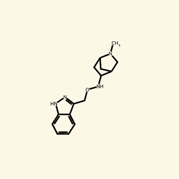 CN1CC2CC1CC2NOCc1n[nH]c2ccccc12